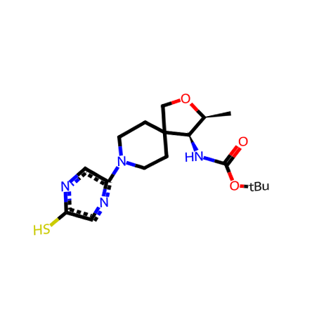 C[C@@H]1OCC2(CCN(c3cnc(S)cn3)CC2)[C@@H]1NC(=O)OC(C)(C)C